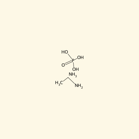 CCN.N.O=P(O)(O)O